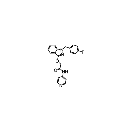 O=C(COc1nn(Cc2ccc(F)cc2)c2ccccc12)Nc1ccncc1